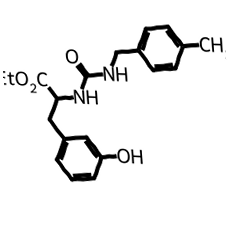 CCOC(=O)C(Cc1cccc(O)c1)NC(=O)NCc1ccc(C)cc1